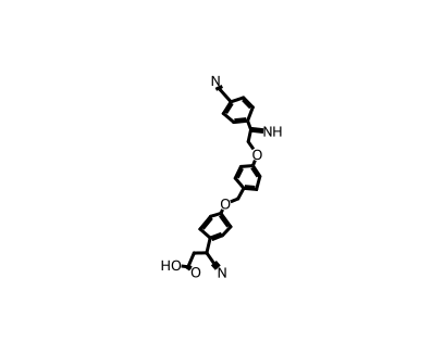 N#Cc1ccc(C(=N)COc2ccc(COc3ccc(C(C#N)CC(=O)O)cc3)cc2)cc1